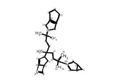 CC(CCC(C)(C)N1CC2=C(CCC2)C1)(CCC(C)(C)N1CC2CC2C1)C1C=C2OCC2C1